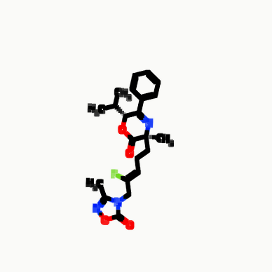 Cc1noc(=O)n1CC(F)=CCC[C@]1(C)N=C(c2ccccc2)[C@@H](C(C)C)OC1=O